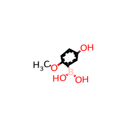 COc1ccc(O)cc1B(O)O